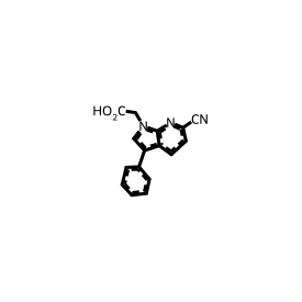 N#Cc1ccc2c(-c3ccccc3)cn(CC(=O)O)c2n1